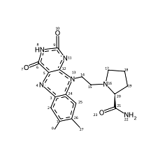 Cc1cc2nc3c(=O)[nH]c(=O)nc-3n(CCN3CCC[C@H]3C(N)=O)c2cc1C